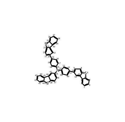 c1ccc2c(c1)sc1ccc(-c3ccc(N(c4ccc(-c5ccc6sc7ccccc7c6c5)cc4)c4ccc5sc6ccccc6c5c4)cc3)cc12